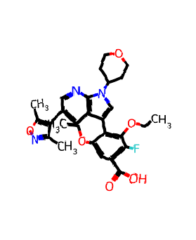 CCOc1cc(C(=O)O)c(F)c(OCC)c1-c1cn(C2CCOCC2)c2ncc(-c3c(C)noc3C)cc12